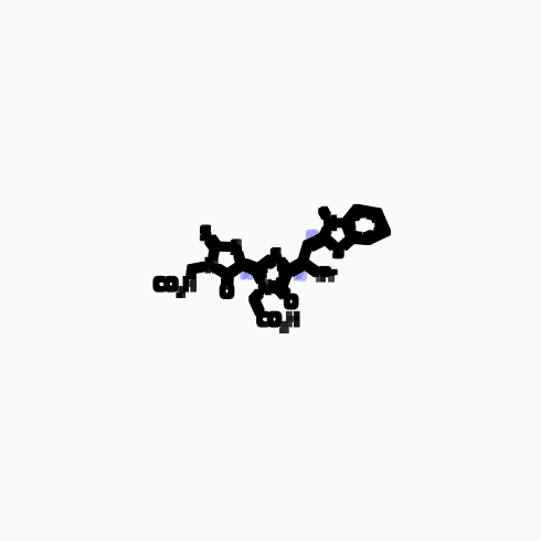 CC(C)C(/C=C1\Sc2ccccc2N1C)=c1/s/c(=C2\SC(=S)N(CC(=O)O)C2=O)n(CC(=O)O)c1=O